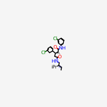 C/C=C(/CNC(=O)CC(C1C=CC=C(Cl)C1)[C@@H](C)C(=O)Nc1cccc(Cl)c1)C(C)C